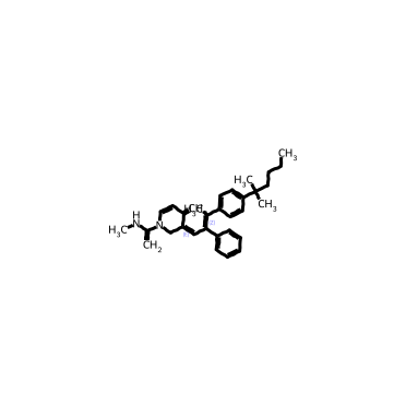 C=C1C=CN(C(=C)NC)C/C1=C/C(=C(\C)c1ccc(C(C)(C)CCCC)cc1)c1ccccc1